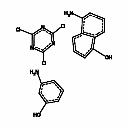 Clc1nc(Cl)nc(Cl)n1.Nc1cccc(O)c1.Nc1cccc2c(O)cccc12